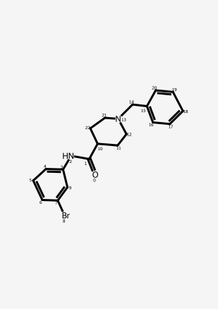 O=C(Nc1cccc(Br)c1)C1CCN(Cc2ccccc2)CC1